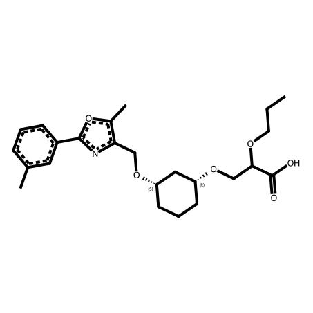 CCCOC(CO[C@@H]1CCC[C@H](OCc2nc(-c3cccc(C)c3)oc2C)C1)C(=O)O